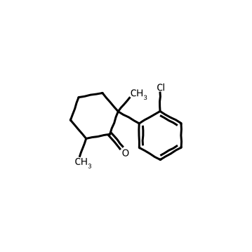 CC1CCCC(C)(c2ccccc2Cl)C1=O